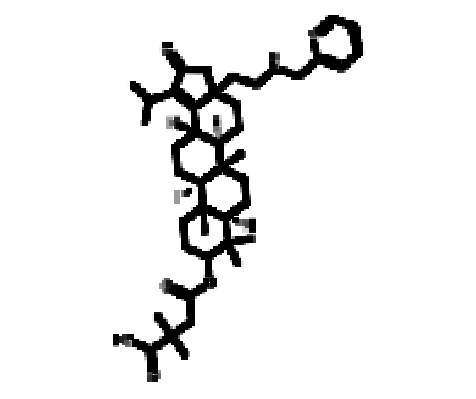 CC(C)C1=C2[C@H]3CC[C@@H]4[C@@]5(C)CC[C@H](OC(=O)CC(C)(C)C(=O)O)C(C)(C)[C@@H]5CC[C@@]4(C)[C@]3(C)CC[C@@]2(CCNCc2ccccn2)CC1=O